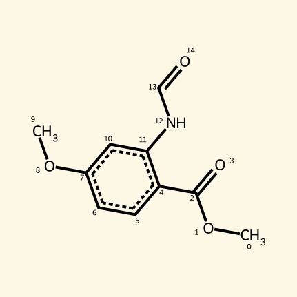 COC(=O)c1ccc(OC)cc1NC=O